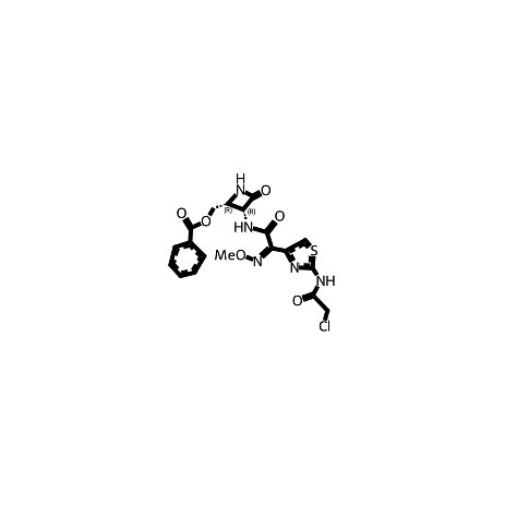 CON=C(C(=O)N[C@H]1C(=O)N[C@H]1COC(=O)c1ccccc1)c1csc(NC(=O)CCl)n1